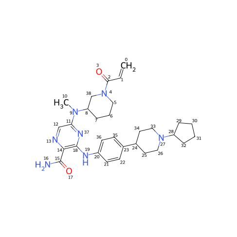 C=CC(=O)N1CCCC(N(C)c2cnc(C(N)=O)c(Nc3ccc(C4CCN(C5CCCC5)CC4)cc3)n2)C1